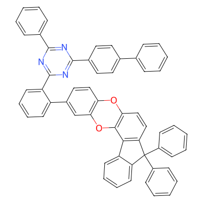 c1ccc(-c2ccc(-c3nc(-c4ccccc4)nc(-c4ccccc4-c4ccc5c(c4)Oc4c(ccc6c4-c4ccccc4C6(c4ccccc4)c4ccccc4)O5)n3)cc2)cc1